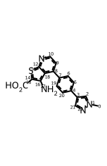 Cn1cc(-c2ccc(-c3ccnc4sc(C(=O)O)c(N)c34)cc2)cn1